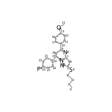 CCCCSc1cc2nc(-c3ccc(OC)cc3)cc(-c3ccc(F)cc3)n2n1